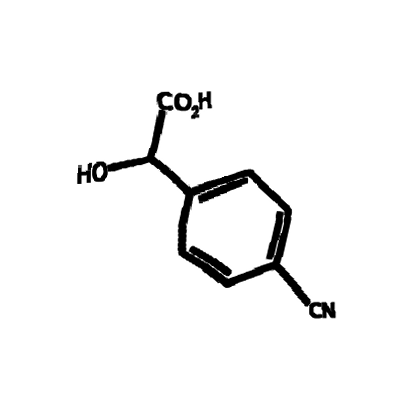 N#Cc1ccc(C(O)C(=O)O)cc1